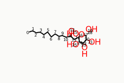 CCCCCCCCCCCC(=O)C[C@]1(O)O[C@H](CO)[C@@H](O)[C@H](O)[C@H]1O